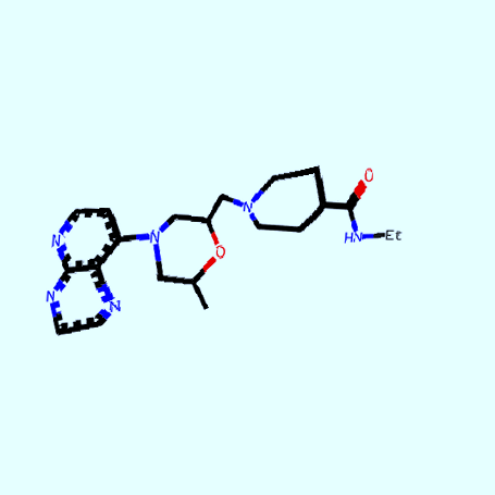 CCNC(=O)C1CCN(CC2CN(c3ccnc4nccnc34)CC(C)O2)CC1